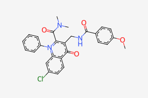 COc1ccc(C(=O)NCc2c(C(=O)N(C)C)n(-c3ccccc3)c3cc(Cl)ccc3c2=O)cc1